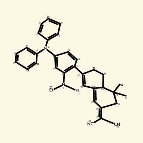 CCN(CC)c1cc(N(c2ccccc2)c2ccccc2)ccc1C1=CC2=CC(=C(C#N)C#N)CC(C)(C)C2CC1